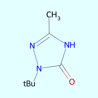 Cc1nn(C(C)(C)C)c(=O)[nH]1